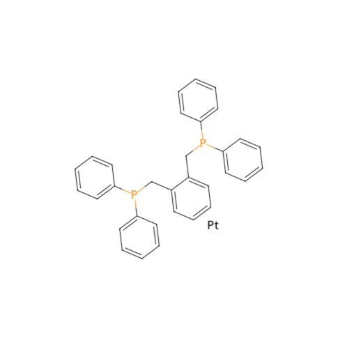 [Pt].c1ccc(P(Cc2ccccc2CP(c2ccccc2)c2ccccc2)c2ccccc2)cc1